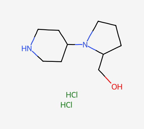 Cl.Cl.OCC1CCCN1C1CCNCC1